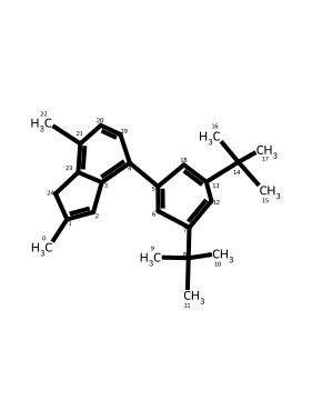 CC1=Cc2c(-c3cc(C(C)(C)C)cc(C(C)(C)C)c3)ccc(C)c2C1